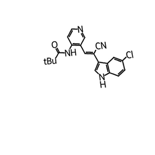 CC(C)(C)C(=O)Nc1ccncc1/C=C(\C#N)c1c[nH]c2ccc(Cl)cc12